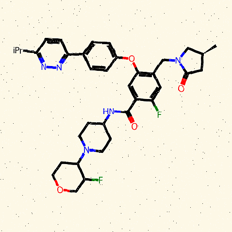 CC(C)c1ccc(-c2ccc(Oc3cc(C(=O)NC4CCN(C5CCOCC5F)CC4)c(F)cc3CN3C[C@@H](C)CC3=O)cc2)nn1